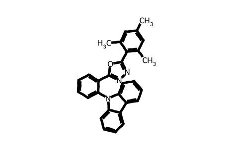 Cc1cc(C)c(-c2nnc(-c3ccccc3-n3c4ccccc4c4ccccc43)o2)c(C)c1